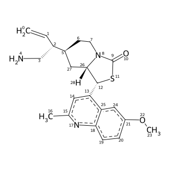 C=C[C@@H](CN)[C@H]1CCN2C(=O)S[C@H](c3cc(C)nc4ccc(OC)cc34)[C@@H]2C1